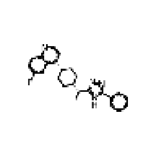 CC(c1nnc(-c2ccccc2)[nH]1)[C@H]1CC[C@@H](c2ccnc3ccc(F)cc32)CC1